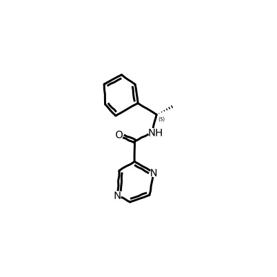 C[C@H](NC(=O)c1cnccn1)c1ccccc1